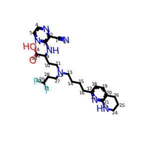 N#Cc1nccnc1NC(CCN(CCCCc1ccc2c(n1)NCCC2)CCC(F)F)C(=O)O